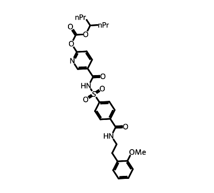 CCCC(CCC)OC(=O)Oc1ccc(C(=O)NS(=O)(=O)c2ccc(C(=O)NCCc3ccccc3OC)cc2)cn1